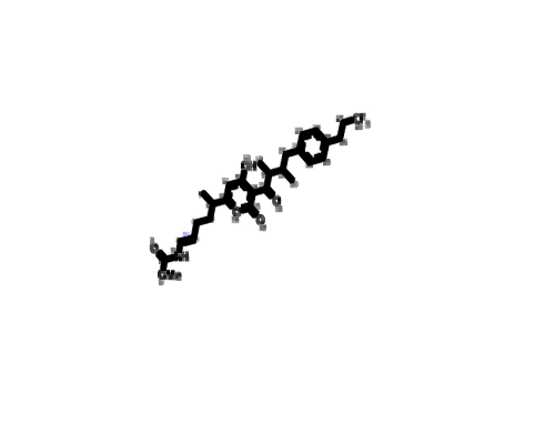 COC(=O)N/C=C/CCC(C)c1cc(O)c(C(=O)C(C)C(C)Cc2ccc(CCC(F)(F)F)cc2)c(=O)o1